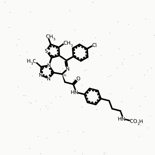 Cc1sc2c(c1C)C(c1ccc(Cl)cc1)=N[C@@H](CC(=O)Nc1ccc(CCCNC(=O)O)cc1)c1nnc(C)n1-2